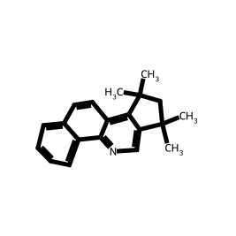 CC1(C)CC(C)(C)c2c1cnc1c2ccc2ccccc21